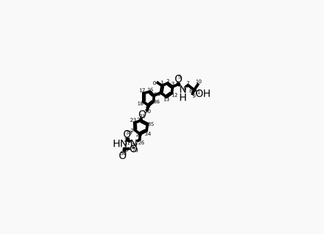 Cc1cc(C(=O)NCC(C)(C)O)ccc1-c1cccc(COc2ccc(Cn3oc(=O)[nH]c3=O)cc2)c1